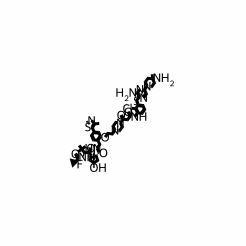 Cc1ncsc1-c1ccc(CNC(=O)[C@@H]2C[C@@H](O)CN2C(=O)[C@@H](NC(=O)C2(F)CC2)C(C)(C)C)c(OCCN2CCN(C(=O)CC(=O)Nc3cccc(Sc4ncc(N5CCC(C)(N)CC5)nc4N)c3Cl)CC2)c1